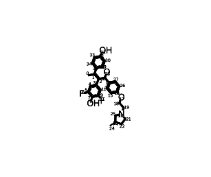 CC1=C(c2cc(F)c(O)c(F)c2)C(c2ccc(OCCN3CC[C@@H](C)C3)cc2)Oc2cc(O)ccc21